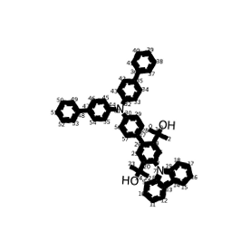 CC(C)(O)c1cc(-n2c3ccccc3c3ccccc32)c(C(C)(C)O)cc1-c1ccc(N(c2ccc(-c3ccccc3)cc2)c2ccc(-c3ccccc3)cc2)cc1